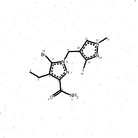 CCc1c(C(N)=O)nn(Cc2cn(C)nc2I)c1Br